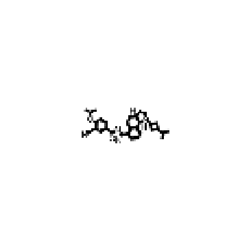 C=C(C)C1CC(N2CC[C@@H]3CCc4c(-c5noc(-c6ccc(OC(C)C)c(C#N)c6)n5)cccc4[C@@H]32)C1